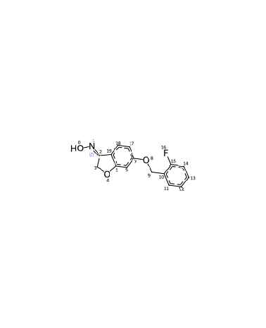 O/N=C1\COc2cc(OCc3ccccc3F)ccc21